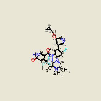 CC1CN(c2cc(F)c(-c3cncc(OCC4CC4)c3)cc2NC(=O)c2c[nH]c(=O)cc2C(F)(F)F)CC(C)N1C